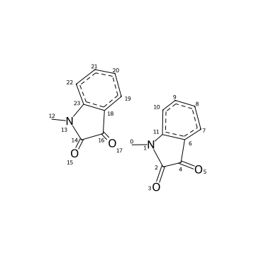 CN1C(=O)C(=O)c2ccccc21.CN1C(=O)C(=O)c2ccccc21